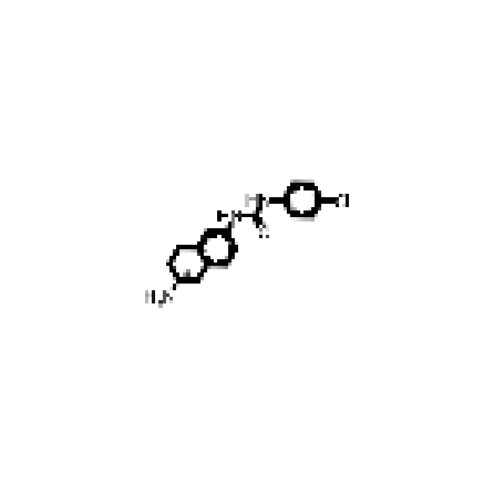 N[C@H]1CCc2cc(NC(=O)Nc3ccc(Cl)cc3)ccc2C1